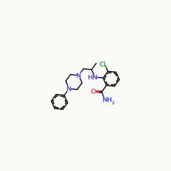 CC(CN1CCN(c2ccccc2)CC1)Nc1c(Cl)cccc1C(N)=O